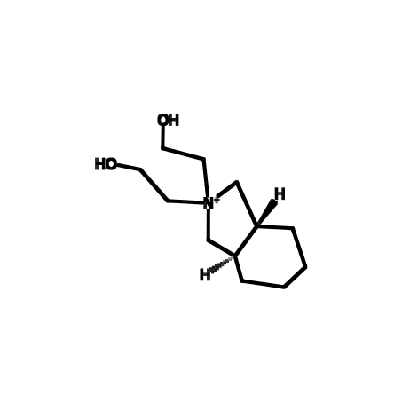 OCC[N+]1(CCO)C[C@@H]2CCCC[C@H]2C1